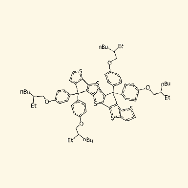 CCCCC(CC)COc1ccc(C2(c3ccc(OCC(CC)CCCC)cc3)c3ccsc3-c3sc4c5c(sc4c32)-c2sc3ccsc3c2C5(c2ccc(OCC(CC)CCCC)cc2)c2ccc(OCC(CC)CCCC)cc2)cc1